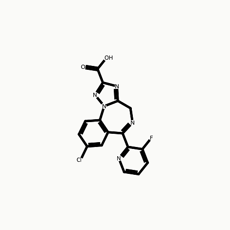 O=C(O)c1nc2n(n1)-c1ccc(Cl)cc1C(c1ncccc1F)=NC2